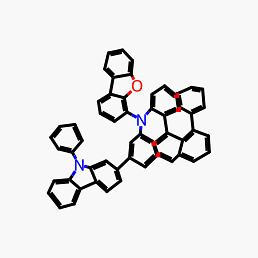 c1ccc(-c2cccc3cccc(-c4ccccc4N(c4cccc(-c5ccc6c7ccccc7n(-c7ccccc7)c6c5)c4)c4cccc5c4oc4ccccc45)c23)cc1